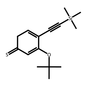 CC(C)(C)OC1=CC(=S)CC=C1C#C[Si](C)(C)C